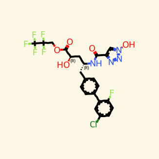 O=C(N[C@H](Cc1ccc(-c2cc(Cl)ccc2F)cc1)C[C@@H](O)C(=O)OCC(F)(F)C(F)(F)F)c1cn(O)nn1